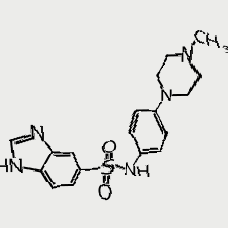 CN1CCN(c2ccc(NS(=O)(=O)c3ccc4[nH]cnc4c3)cc2)CC1